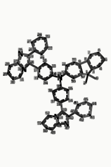 CC1(C)c2ccccc2-c2ccc(N(c3ccc(-c4c(-c5ccccc5)nc5ccccn45)cc3)c3ccc(-c4c(-c5ccccc5)nc5ccccn45)cc3)cc21